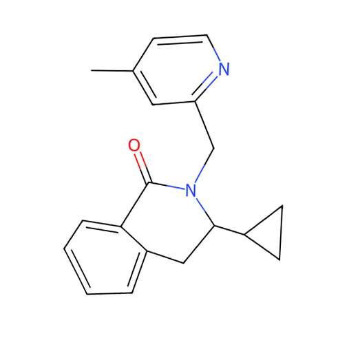 Cc1ccnc(CN2C(=O)c3ccccc3CC2C2CC2)c1